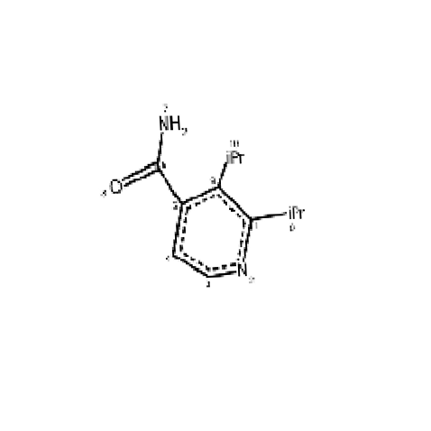 CC(C)c1nccc(C(N)=O)c1C(C)C